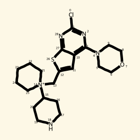 Clc1nc(N2CCOCC2)c2cc(C[N+]3(C4CCNCC4)CCCCC3)sc2n1